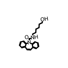 O=C(NCCCCCCO)N1c2ccccc2C=Cc2ccccc21